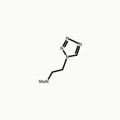 C[N]CCn1cnnn1